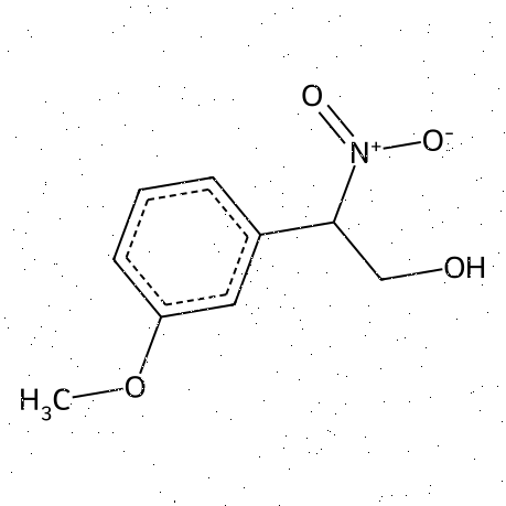 COc1cccc(C(CO)[N+](=O)[O-])c1